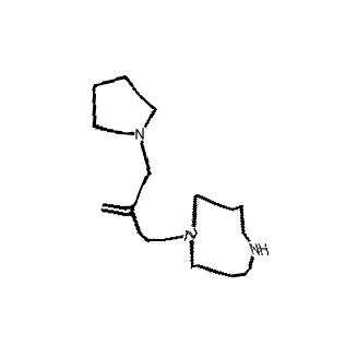 C=C(CN1CCCC1)CN1CCNCC1